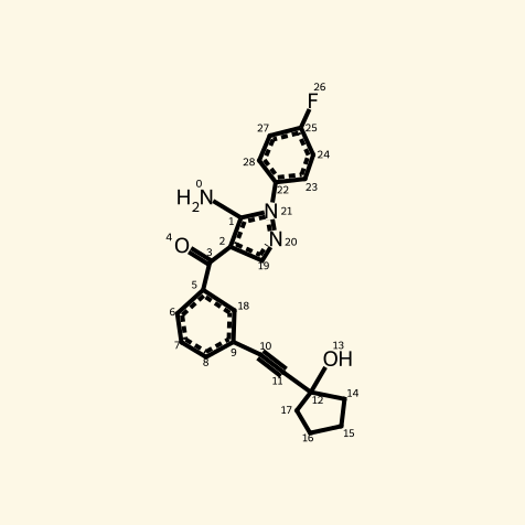 Nc1c(C(=O)c2cccc(C#CC3(O)CCCC3)c2)cnn1-c1ccc(F)cc1